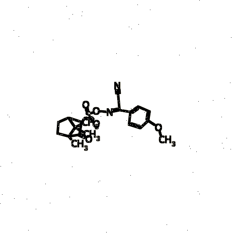 COc1ccc(/C(C#N)=N/OS(=O)(=O)C2C(=O)C3(C)CCC2C3(C)C)cc1